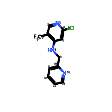 FC(F)(F)c1cnc(Cl)cc1NCc1ccccn1